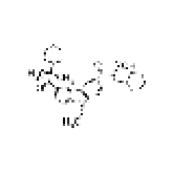 CCn1c2ccc(C(=O)/C(CC3CCCCC3)=N/O)cc2c2cc(C(=O)C(C)(C)N3CCCCC3)ccc21